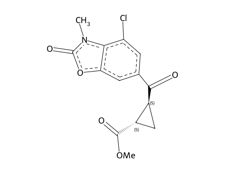 COC(=O)[C@H]1C[C@@H]1C(=O)c1cc(Cl)c2c(c1)oc(=O)n2C